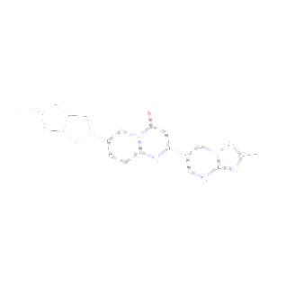 Cc1nc2ncc(-c3cc(=O)n4cc(N5CC6CN(C)CC6C5)ccc4n3)cn2n1